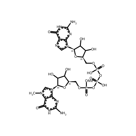 COP(=O)(OC[C@H]1O[C@@H](n2c[n+](C)c3c(=O)[nH]c(N)nc32)C(O)C1O)OP(=O)(O)OP(=O)(O)OC[C@H]1O[C@@H](n2cnc3c(=O)[nH]c(N)nc32)C(O)C1O